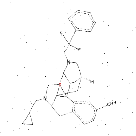 Oc1ccc2c(c1)C13CCN(CC4CC4)C(C2)C12CCC1C3[C@@H](CN1CC(F)(F)c1ccccc1)C2